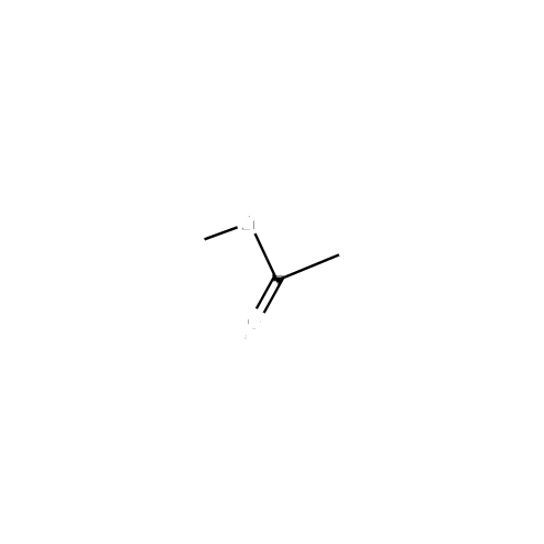 [CH3][Zr][C](C)=O